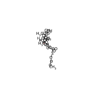 COCCOCCOCCSCc1oc(=O)oc1COC(=O)CO[C@H]1CC[C@]2(C)[C@H]3C(=O)C=C4[C@@H]5C[C@@](C)(C(=O)O)CC[C@]5(C)CC[C@@]4(C)[C@]3(C)CC[C@H]2C1(C)C